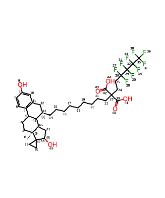 C[C@]12CCC3c4ccc(O)cc4C[C@@H](CCCCCCCCCC(CCC(F)(F)C(F)(F)C(F)(F)C(F)(F)F)(C(=O)O)C(=O)O)C3C1C[C@@H](O)C21CC1